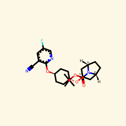 CC(C)(C)OC(=O)N1[C@@H]2CC[C@H]1C[C@H](O[C@H]1CC[C@H](Oc3ncc(F)cc3C#N)CC1)C2